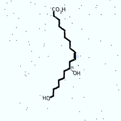 O=C(O)CCCCCCC/C=C\C[C@H](O)CCCCCCO